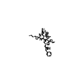 CCCCOc1nc(N)c([N+](=O)[O-])c(N(CCCNCc2ccccc2)CC(=O)OCC)n1